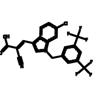 N#C/C(=C\c1cn(Cc2cc(C(F)(F)F)cc(C(F)(F)F)c2)c2cc(Cl)ccc12)C(=O)O